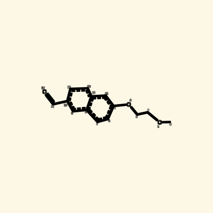 COCCOc1ccc2cc(C=O)ccc2c1